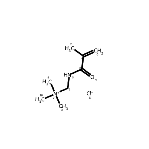 C=C(C)C(=O)NC[N+](C)(C)C.[Cl-]